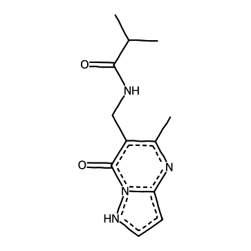 Cc1nc2cc[nH]n2c(=O)c1CNC(=O)C(C)C